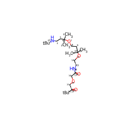 CC(C)(C)NCCC(C)(C)OCCC(C)(C)OCCNC(=O)COCC(=O)C(C)(C)C